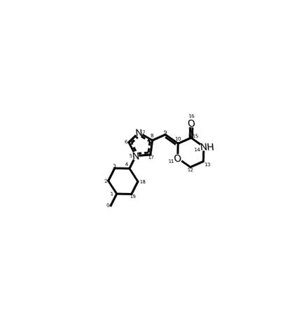 CC1CCC(n2cnc(C=C3OCCNC3=O)c2)CC1